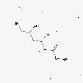 CC(C)OC(=O)CC(O)CC(O)CC#N